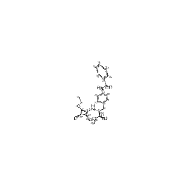 CCOc1c(N[C@@H](Cc2ccc(NC(=O)c3ccccc3)cc2)C(=O)OC)c(=O)c1=O